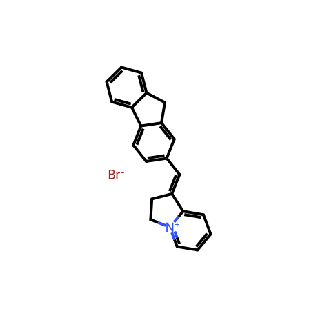 C(=C1CC[n+]2ccccc21)c1ccc2c(c1)Cc1ccccc1-2.[Br-]